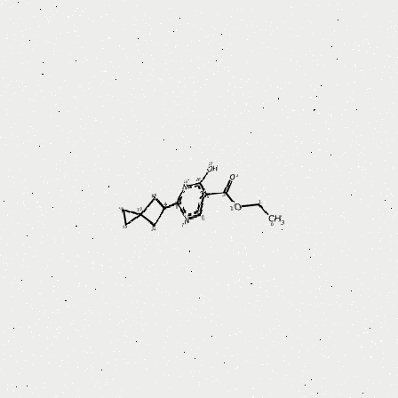 CCOC(=O)c1cnc(C2CC3(CC3)C2)nc1O